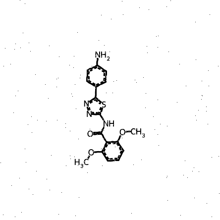 COc1cccc(OC)c1C(=O)Nc1nnc(-c2ccc(N)cc2)s1